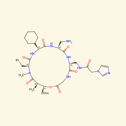 CCCCCC[C@@H]1OC(=O)CNC(=O)[C@H](CNC(=O)Cn2ccnc2)NC(=O)[C@H](CN)NC(=O)[C@H](C2CCCCC2)NC(=O)[C@H](CC(C)C)N(C)C(=O)[C@@H]1C